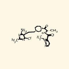 Cc1nc(N)c(CC[C@H]2CCCN(C(=O)[C@H](C)NC(=O)c3ccnn3C)CC2)c(Cl)n1